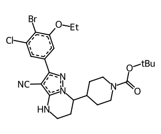 CCOc1cc(-c2nn3c(c2C#N)NCCC3C2CCN(C(=O)OC(C)(C)C)CC2)cc(Cl)c1Br